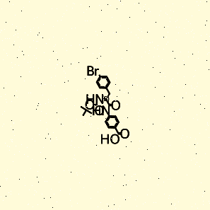 CC(C)(C)OC(=O)N[C@@H](Cc1ccc(Br)cc1)C(=O)Nc1ccc(C(=O)O)cc1